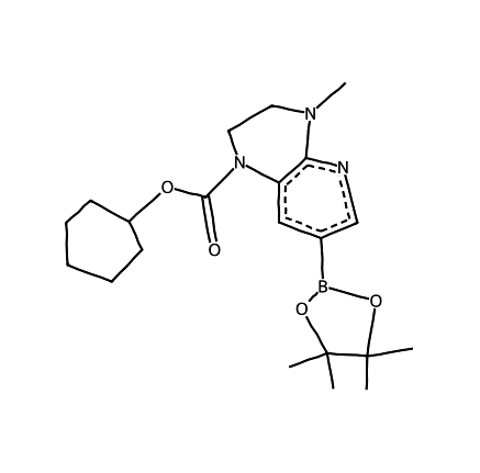 CN1CCN(C(=O)OC2CCCCC2)c2cc(B3OC(C)(C)C(C)(C)O3)cnc21